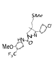 COc1cc(NC(=O)N2CC(C)(CCCSC)C(c3ccc(Cl)cc3)=N2)ccc1C(F)(F)F